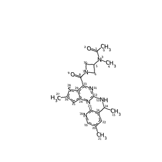 CC(=O)N(C)C1CN(C(=O)c2nc(NC(C)c3cncc(C)c3)nc3cc(C)sc23)C1